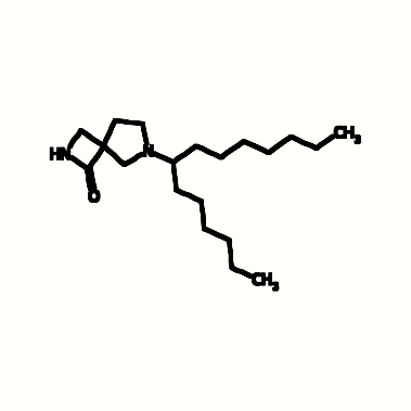 CCCCCCCC(CCCCCC)N1CCC2(CNC2=O)C1